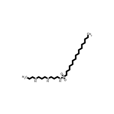 CCCCCCCCCCCCCCCCS(=O)(=O)NCCCNCCCNCCC